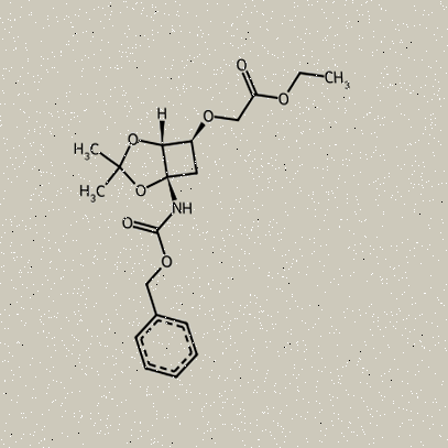 CCOC(=O)CO[C@H]1C[C@]2(NC(=O)OCc3ccccc3)OC(C)(C)O[C@H]12